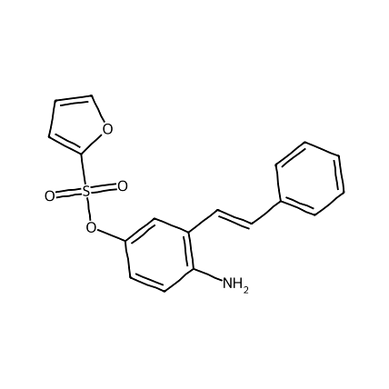 Nc1ccc(OS(=O)(=O)c2ccco2)cc1/C=C/c1ccccc1